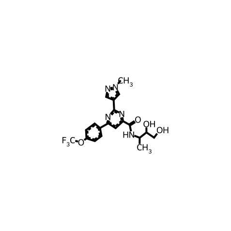 CC(NC(=O)c1cc(-c2ccc(OC(F)(F)F)cc2)nc(-c2cnn(C)c2)n1)C(O)CO